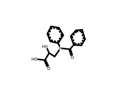 O=C(O)C(O)CN(C(=O)c1ccccc1)c1ccccc1